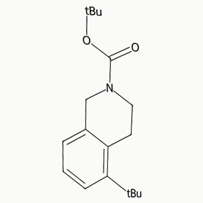 CC(C)(C)OC(=O)N1CCc2c(cccc2C(C)(C)C)C1